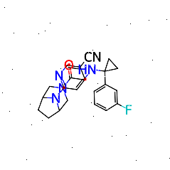 N#Cc1ccc(N2C3CCC2CN(C(=O)CNC2(c4cccc(F)c4)CC2)C3)nc1